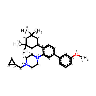 COc1cccc(-c2ccc(C3CC(C)(C)CC(C)(C)C3)c(N3CCN(CC4CC4)CC3)c2)c1